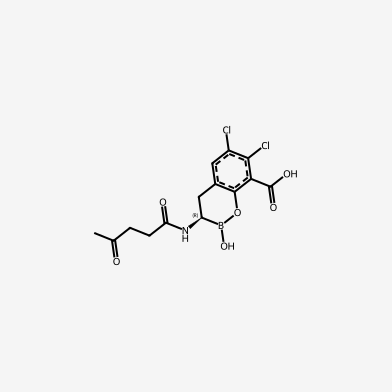 CC(=O)CCC(=O)N[C@H]1Cc2cc(Cl)c(Cl)c(C(=O)O)c2OB1O